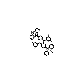 Cc1cc(C)cc(-c2c3ccc(N4c5ccccc5N(C)c5ccccc54)cc3c(-c3cc(C)cc(C)c3)c3ccc(N4c5ccccc5N(C)c5ccccc54)cc23)c1